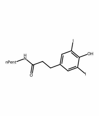 CCCCCNC(=O)CCc1cc(I)c(O)c(I)c1